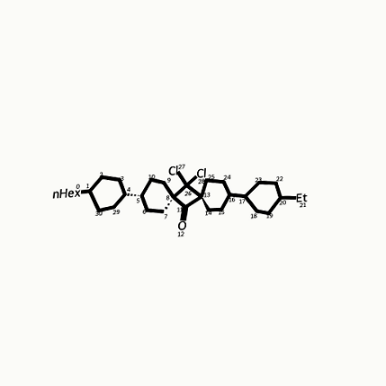 CCCCCCC1CCC([C@H]2CC[C@@]3(CC2)C(=O)[C@]2(CCC(C4CCC(CC)CC4)CC2)C3(Cl)Cl)CC1